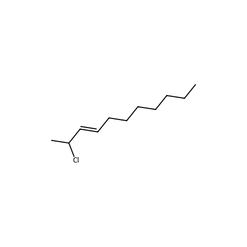 CCCCCCCC=CC(C)Cl